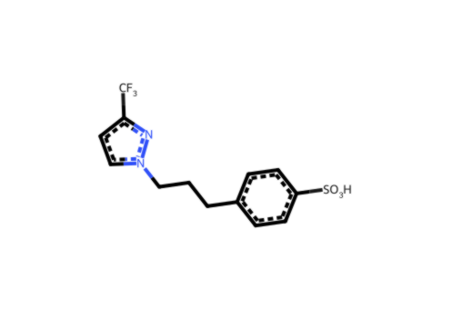 O=S(=O)(O)c1ccc(CCCn2ccc(C(F)(F)F)n2)cc1